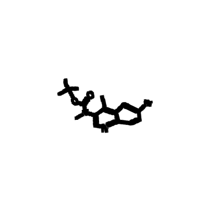 Cc1c(N(C)C(=O)OC(C)(C)C)cnc2ccc(Br)cc12